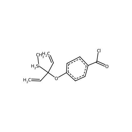 C=CC(C=C)(Oc1ccc(C(=O)Cl)cc1)[SiH2]C